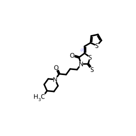 CC1CCN(C(=O)CCCN2C(=O)/C(=C/c3cccs3)SC2=S)CC1